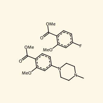 COC(=O)c1ccc(F)cc1OC.COC(=O)c1ccc(N2CCN(C)CC2)cc1OC